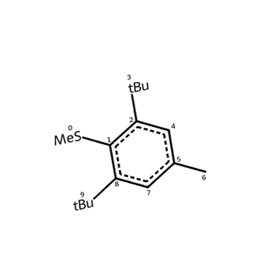 CSc1c(C(C)(C)C)cc(C)cc1C(C)(C)C